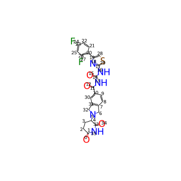 O=C1CCC(N2Cc3ccc(C(=O)NC(=O)Nc4nc(-c5ccc(F)cc5F)cs4)cc3C2)C(=O)N1